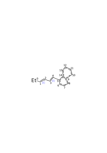 CC/C=[C]/C=C/c1cccc2ccccc12